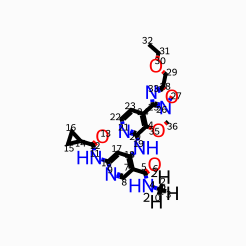 [2H]C([2H])([2H])NC(=O)c1cnc(NC(=O)C2CC2)cc1Nc1nccc(-c2noc(COCC)n2)c1OC